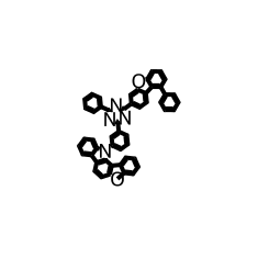 c1ccc(-c2nc(-c3cccc(-n4c5ccccc5c5ccc6oc7ccccc7c6c54)c3)nc(-c3ccc4c(c3)oc3cccc(-c5ccccc5)c34)n2)cc1